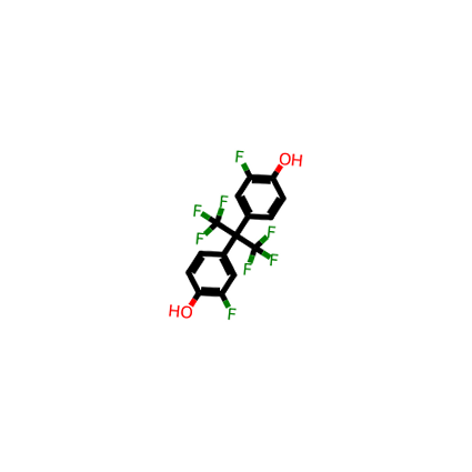 Oc1ccc(C(c2ccc(O)c(F)c2)(C(F)(F)F)C(F)(F)F)cc1F